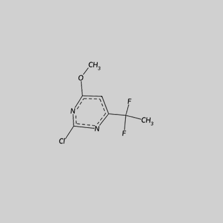 COc1cc(C(C)(F)F)nc(Cl)n1